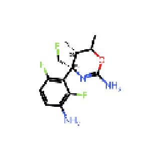 CC1OC(N)=N[C@@](CF)(c2c(F)ccc(N)c2F)[C@@H]1C